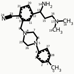 Cc1ccc(N2CCN(Cc3cc(C(N)CCN(C)C)ccc3C#N)CC2)cc1